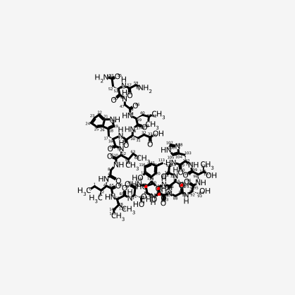 CC[C@H](C)[C@H](NC(=O)CNC(=O)[C@@H](NC(=O)[C@H](Cc1c[nH]c2ccccc12)NC(=O)[C@H](CCC(=O)O)NC(=O)[C@H](CC(C)C)NC(=O)CNC(=O)[C@H](CC(N)=O)NC(=O)CN)[C@@H](C)CC)C(=O)N[C@H](C(=O)N[C@@H](CO)C(=O)N[C@@H](CO)C(=O)NCC(=O)NCC(=O)N[C@@H](CO)C(=O)N[C@H](C(=O)N[C@@H](Cc1c[nH]cn1)C(=O)N[C@@H](Cc1ccc(O)cc1)C(=O)N[C@@H](C)C(=O)N[C@@H](CO)C(=O)O)[C@@H](C)O)[C@@H](C)CC